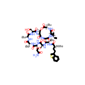 C=C[C@H]1C[C@]12NC(=O)[C@H](C)NC(=O)[C@H](NC(=O)[C@H](CO)NC(=O)[C@@H](NC(=O)[C@H](NC(=O)[C@@H](CCC(N)=O)NC(=O)[C@H](CO)NC(=O)[C@@H](NC(=O)[C@@H](CCc1csc3ccccc13)NC)[C@@H](C)CC)[C@@H](C)CC)[C@@H](C)CC)[C@H](C)OC(=O)[C@H]([C@@H](C)CC)NC2=O